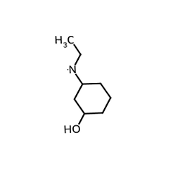 CC[N]C1CCCC(O)C1